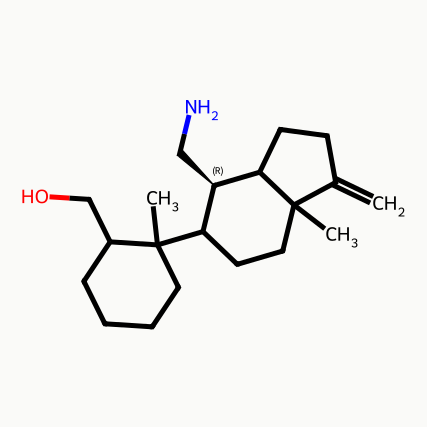 C=C1CCC2[C@H](CN)C(C3(C)CCCCC3CO)CCC12C